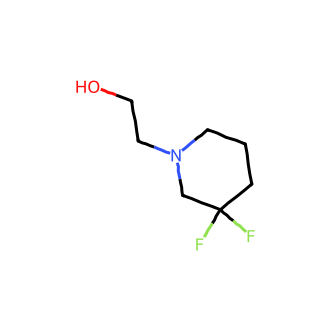 OCCN1CCCC(F)(F)C1